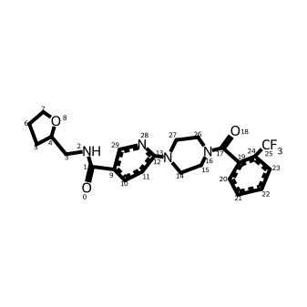 O=C(NCC1CCCO1)c1ccc(N2CCN(C(=O)c3ccccc3C(F)(F)F)CC2)nc1